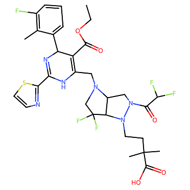 CCOC(=O)C1=C(CN2CC(F)(F)C3C2CN(C(=O)C(F)F)N3CCC(C)(C)C(=O)O)NC(c2nccs2)=NC1c1cccc(F)c1C